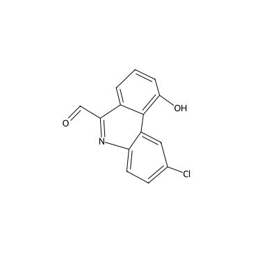 O=Cc1nc2ccc(Cl)cc2c2c(O)cccc12